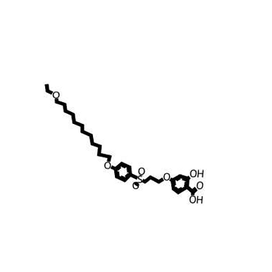 CCOCCCCCCCCCCCCOc1ccc(S(=O)(=O)CCCOc2ccc(C(=O)O)c(O)c2)cc1